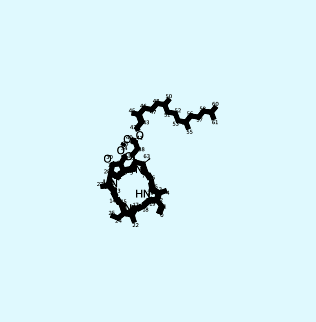 C=Cc1c(C)c2cc3nc(c4c5[nH]c(cc6nc(cc1[nH]2)C(C)=C6CC)c(C)c5C(=O)C4C(=O)OC)[C@@H](CCC(=O)OC/C=C(\C)CCCC(C)CCCC(C)CCCC(C)C)[C@@H]3C